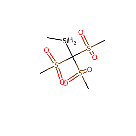 C[SiH2]C(S(C)(=O)=O)(S(C)(=O)=O)S(C)(=O)=O